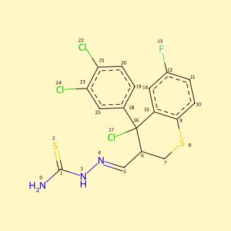 NC(=S)NN=CC1CSc2ccc(F)cc2C1(Cl)c1ccc(Cl)c(Cl)c1